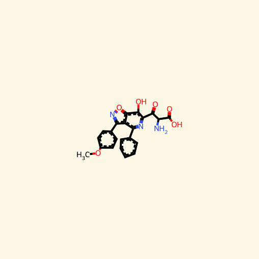 COc1ccc(-c2noc3c(O)c(C(=O)C(N)C(=O)O)nc(-c4ccccc4)c23)cc1